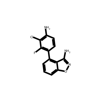 Nc1ccc(-c2cccc3onc(N)c23)c(F)c1Cl